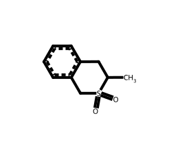 CC1Cc2ccccc2CS1(=O)=O